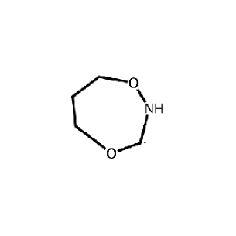 [CH]1NOCCCO1